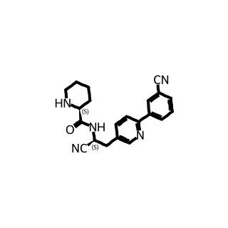 N#Cc1cccc(-c2ccc(C[C@@H](C#N)NC(=O)[C@@H]3CCCCN3)cn2)c1